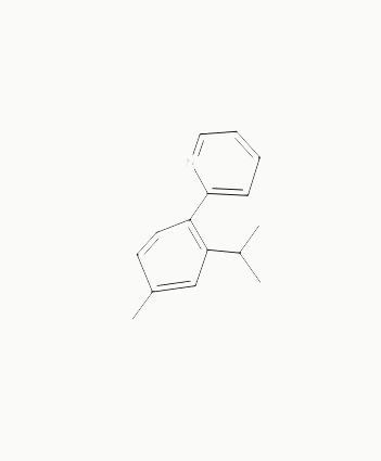 CC(C)c1cc(Br)ccc1-c1ccccn1